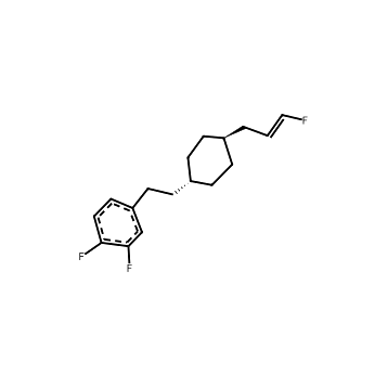 F/C=C/C[C@H]1CC[C@H](CCc2ccc(F)c(F)c2)CC1